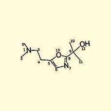 CN(C)CCc1cnc(C(C)(C)O)o1